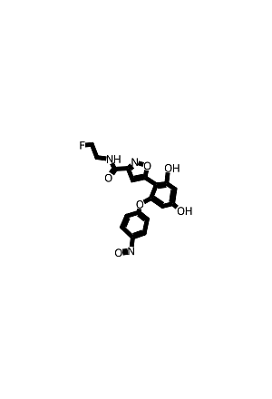 O=Nc1ccc(Oc2cc(O)cc(O)c2-c2cc(C(=O)NCCF)no2)cc1